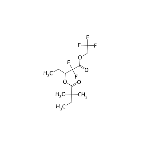 CCC(OC(=O)C(C)(C)CC)C(F)(F)C(=O)OCC(F)(F)F